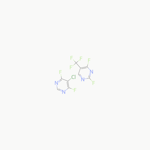 Fc1ncc(C(F)(F)F)c(F)n1.Fc1ncnc(F)c1Cl